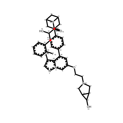 N#Cc1cnn2cc(OCCN3CC4C(O)C4C3)cc(-c3ccc(N4CC5CC(C4)N5C(=O)C(O)Cc4ccccc4F)nc3)c12